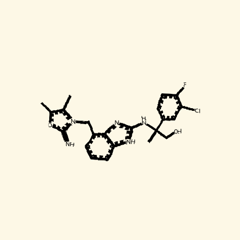 Cc1oc(=N)n(Cc2cccc3[nH]c(NC(C)(CO)c4ccc(F)c(Cl)c4)nc23)c1C